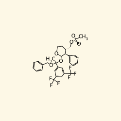 CC(OCc1ccccc1)(OC1OCC[C@H](COS(C)(=O)=O)[C@H]1c1ccccc1)c1cc(C(F)(F)F)cc(C(F)(F)F)c1